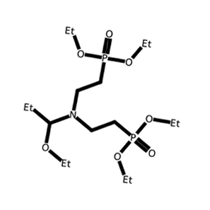 CCOC(CC)N(CCP(=O)(OCC)OCC)CCP(=O)(OCC)OCC